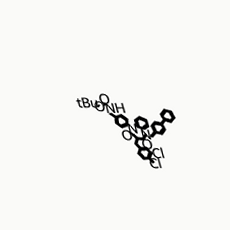 CC(C)(C)OC(=O)NCc1ccc(N2C(=O)C(Cc3ccc(Cl)c(Cl)c3)C(=O)N(Cc3ccc(-c4ccccc4)cc3)c3ccccc32)cc1